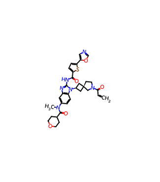 C=CC(=O)N1CC[C@]2(C1)C[C@H](n1c(NC(=O)c3ccc(-c4cnco4)s3)nc3cc(N(C)C(=O)C4CCOCC4)ccc31)C2